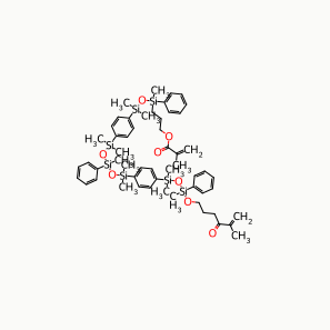 C=C(C)C(=O)CCCO[Si](C)(O[Si](C)(C)c1ccc([Si](C)(C)O[Si](C)(O[Si](C)(C)c2ccc([Si](C)(C)O[Si](C)(CCCOC(=O)C(=C)C)c3ccccc3)cc2)c2ccccc2)cc1)c1ccccc1